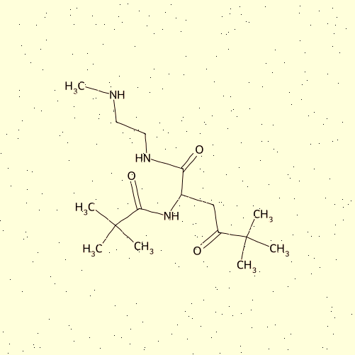 CNCCNC(=O)C(CC(=O)C(C)(C)C)NC(=O)C(C)(C)C